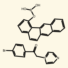 O=C(C[n+]1ccncc1)c1ccc(Br)cc1.OB(O)Oc1cccc2ccc3cc4ccccc4cc3c12